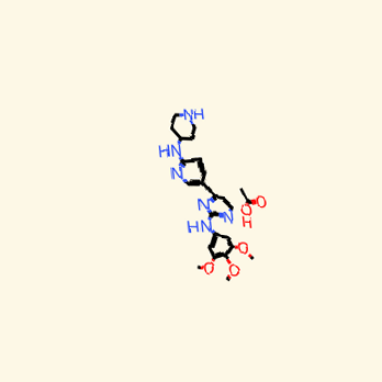 CC(=O)O.COc1cc(Nc2nccc(-c3ccc(NC4CCNCC4)nc3)n2)cc(OC)c1OC